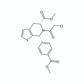 COC(=O)c1ccc([C@@H]2c3sccc3C[C@H](C(=O)OC)N2C(=O)CCl)cc1